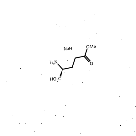 COC(=O)CC[C@H](N)C(=O)O.[NaH]